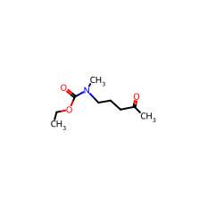 CCOC(=O)N(C)CCCC(C)=O